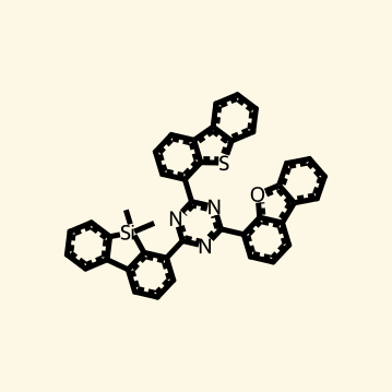 C[Si]1(C)c2ccccc2-c2cccc(-c3nc(-c4cccc5c4oc4ccccc45)nc(-c4cccc5c4sc4ccccc45)n3)c21